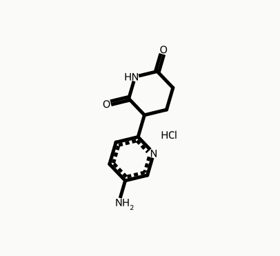 Cl.Nc1ccc(C2CCC(=O)NC2=O)nc1